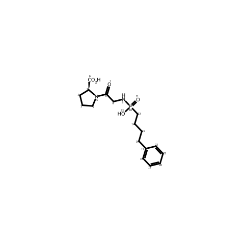 O=C(O)[C@@H]1CCCN1C(=O)CNP(=O)(O)CCCCc1ccccc1